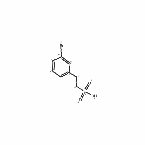 O=S(=O)(O)CCc1cccc(Br)c1